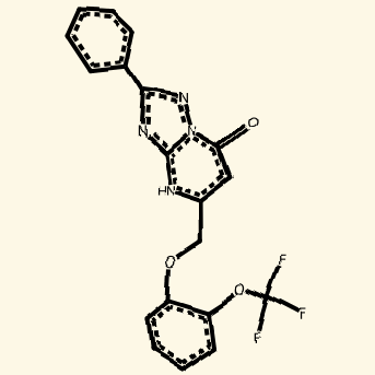 O=c1cc(COc2ccccc2OC(F)(F)F)[nH]c2nc(-c3ccccc3)nn12